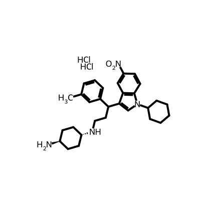 Cc1cccc(C(CCN[C@H]2CC[C@H](N)CC2)c2cn(C3CCCCC3)c3ccc([N+](=O)[O-])cc23)c1.Cl.Cl